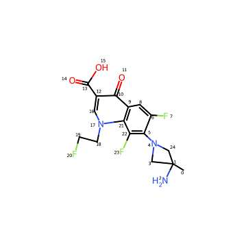 CC1(N)CN(c2c(F)cc3c(=O)c(C(=O)O)cn(CCF)c3c2F)C1